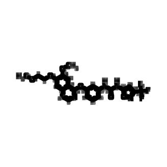 COCCOc1cc2ncnc(Oc3cccc(NC(=O)Nc4cc(C(F)(F)F)no4)c3)c2cc1OC